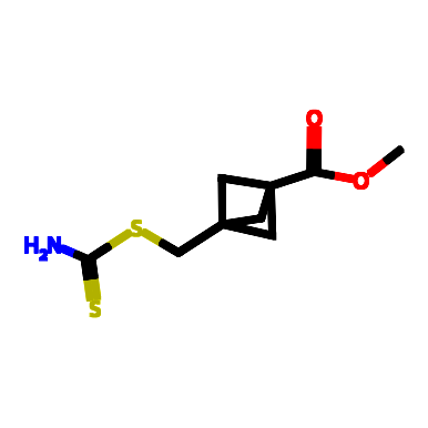 COC(=O)C12CC(CSC(N)=S)(C1)C2